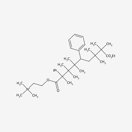 CCOC(=O)C(C)(C)C(C)(C)CC(c1ccccc1)C(C)(C)C(C)(C)C(C)(C(=O)OCC[N+](C)(C)C)C(C)C